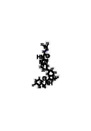 Cc1cccc([C@H](C)NC(=O)c2cn(C)c3ccc(-c4ccn5nc(NC(=O)/C=C/N(C)C)nc5c4)cc23)c1